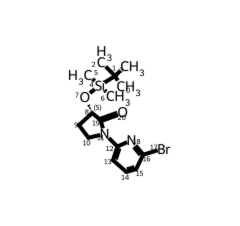 CC(C)(C)[Si](C)(C)O[C@H]1CCN(c2cccc(Br)n2)C1=O